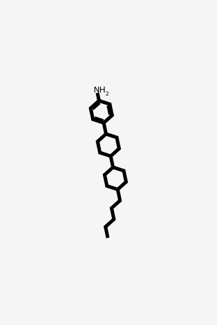 CCCCCC1CCC(C2CCC(c3ccc(N)cc3)CC2)CC1